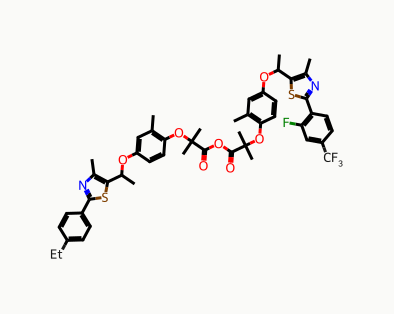 CCc1ccc(-c2nc(C)c(C(C)Oc3ccc(OC(C)(C)C(=O)OC(=O)C(C)(C)Oc4ccc(OC(C)c5sc(-c6ccc(C(F)(F)F)cc6F)nc5C)cc4C)c(C)c3)s2)cc1